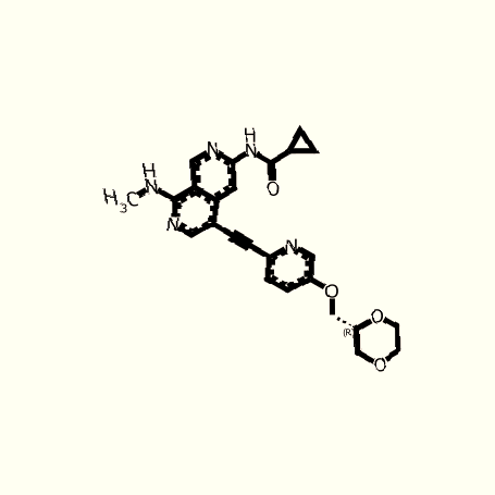 CNc1ncc(C#Cc2ccc(OC[C@H]3COCCO3)cn2)c2cc(NC(=O)C3CC3)ncc12